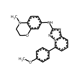 COc1ccc(-c2cccc3nc(Nc4ccc5c(c4)OCCN5C)nn23)cc1